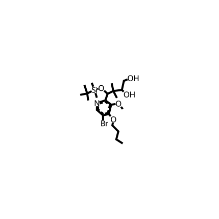 CCCCOc1c(Br)cnc(C(O[Si](C)(C)C(C)(C)C)C(C)(C)C(O)CO)c1OC